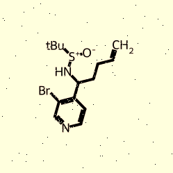 C=CCCC(N[S+]([O-])C(C)(C)C)c1ccncc1Br